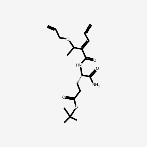 C=C/C=C(/C(=O)N[C@@H](CCC(=O)OC(C)(C)C)C(N)=O)C(C)OCC=C